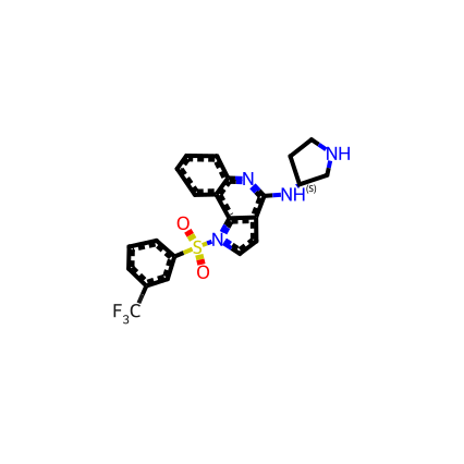 O=S(=O)(c1cccc(C(F)(F)F)c1)n1ccc2c(N[C@H]3CCNC3)nc3ccccc3c21